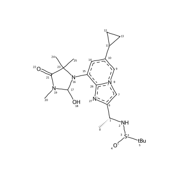 C[C@@H](N[S+]([O-])C(C)(C)C)c1cn2cc(C3CC3)cc(N3C(O)N(C)C(=O)C3(C)C)c2n1